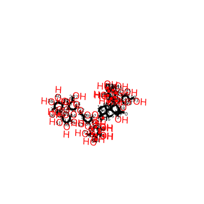 C=C1[C@H](O)[C@@]23CC[C@H]4[C@@](C)(CCC[C@@]4(C)C(=O)OC4OC(COC5OC(CO)C(O)C(OC6OC(CO)C(O)C(O)C6O)C5OC5OC(CO)C(O)C(O)C5O)C(O)C(OC5OC(CO)C(O)C(O)C5O)C4OC4OC(CO)C(O)C(O)C4O)[C@@H]2CCC1(OC1OC(CO)C(O)C(OC2OC(CO)C(O)C(O)C2O)C1OC1OC(CO)C(O)C(O)C1O)C3